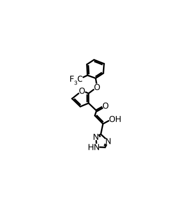 O=C(C=C(O)c1nc[nH]n1)c1ccoc1Oc1ccccc1C(F)(F)F